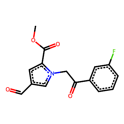 COC(=O)c1cc(C=O)cn1CC(=O)c1cccc(F)c1